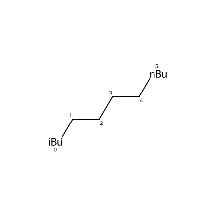 C[CH]C(C)CCCCCCCC